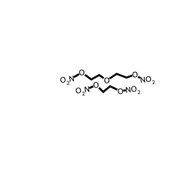 O=[N+]([O-])OCCOCCO[N+](=O)[O-].O=[N+]([O-])OCCO[N+](=O)[O-]